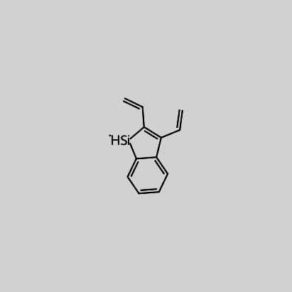 C=CC1=C(C=C)[SiH](C)c2ccccc21